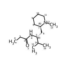 CCC(=O)N[C@H](C[C@H]1CCCCN1C)C(C)C